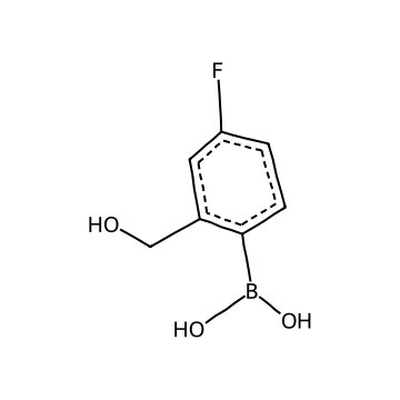 OCc1cc(F)ccc1B(O)O